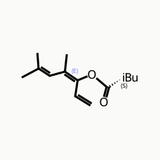 C=C/C(OC(=O)[C@@H](C)CC)=C(/C)C=C(C)C